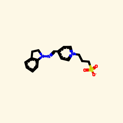 O=S(=O)([O-])CCC[n+]1ccc(/C=N/N2CCc3ccccc32)cc1